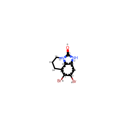 O=c1[nH]c2cc(Br)c(Br)c3c2n1CCC3